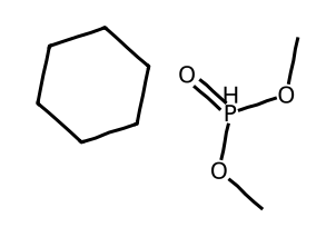 C1CCCCC1.CO[PH](=O)OC